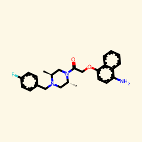 C[C@@H]1CN(Cc2ccc(F)cc2)[C@@H](C)CN1C(=O)COc1ccc(N)c2ccccc12